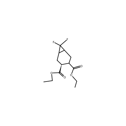 CCOC(=O)C1CC2C(C[C@@H]1C(=O)OCC)C2(F)F